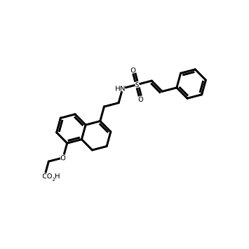 O=C(O)COc1cccc2c1CCC=C2CCNS(=O)(=O)C=Cc1ccccc1